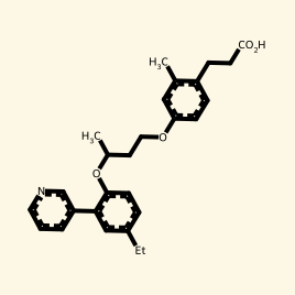 CCc1ccc(OC(C)CCOc2ccc(CCC(=O)O)c(C)c2)c(-c2cccnc2)c1